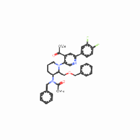 COC(=O)c1cc(-c2ccc(F)c(F)c2)ncc1N1CCCC(N(Cc2ccccc2)C(=O)OC)C1COCc1ccccc1